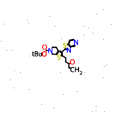 C=CC(=O)CCc1sc2c(c1-c1nc3cnccc3s1)CCN(C(=O)OC(C)(C)C)C2